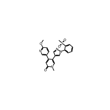 COc1ccc(-c2cc(=O)n(C)cc2-c2cnn(-c3ccccc3S(C)(=O)=O)c2)cn1